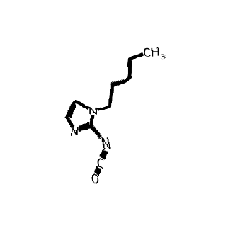 CCCCCn1ccnc1N=C=O